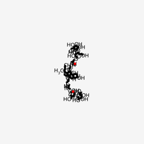 CCC[C@@H](C)[C@H]1CC[C@H]2[C@@H]3[C@H](OCCn4cc(CO[C@@H]5OC(CO)[C@@H](O[C@H]6OC(CO)[C@@H](O)[C@H](O)C6O)[C@H](O)C5O)nn4)C[C@@H]4C[C@H](O)CC[C@]4(C)[C@H]3C[C@H](OCCn3cc(CO[C@@H]4OC(CO)[C@@H](O[C@H]5OC(CO)[C@@H](O)[C@H](O)C5O)[C@H](O)C4O)nn3)[C@]12C